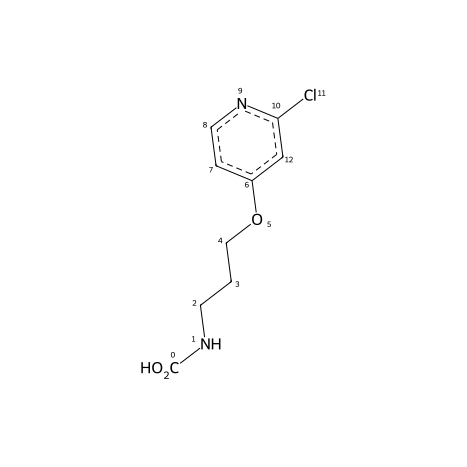 O=C(O)NCCCOc1ccnc(Cl)c1